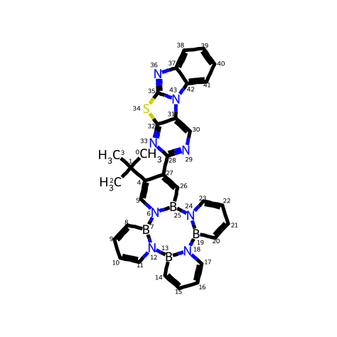 CC(C)(C)C1=CN2B3C=CC=CN3B3C=CC=CN3B3C=CC=CN3B2C=C1c1ncc2c(n1)sc1nc3ccccc3n12